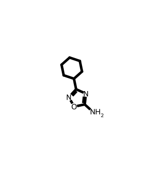 Nc1nc(C2CCCCC2)no1